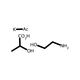 CC(O)C(=O)O.C[C](=O)[K].NCCO